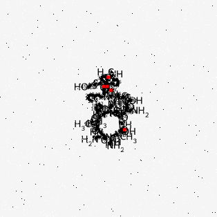 CNC(=O)c1ccccc1Sc1ccc2c(/C=C/c3ccccn3)nn(C(=O)N(CCOC(=O)c3ccccc3CSSCCO)CCC(=O)N[C@H](C(=O)N[C@@H](CCN)C(=O)N[C@H]3CCNC(=O)[C@H]([C@@H](C)O)NC(=O)[C@H](CCN)NC(=O)[C@H](CCN)NC(=O)[C@H](CC(C)C)NC(=O)[C@@H](Cc4ccccc4)NC(=O)[C@H](CCN)NC3=O)[C@@H](C)O)c2c1